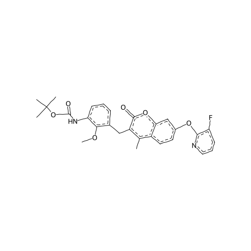 COc1c(Cc2c(C)c3ccc(Oc4ncccc4F)cc3oc2=O)cccc1NC(=O)OC(C)(C)C